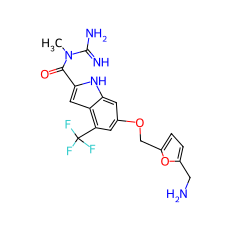 CN(C(=N)N)C(=O)c1cc2c(C(F)(F)F)cc(OCc3ccc(CN)o3)cc2[nH]1